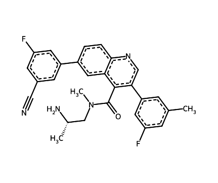 Cc1cc(F)cc(-c2cnc3ccc(-c4cc(F)cc(C#N)c4)cc3c2C(=O)N(C)C[C@H](C)N)c1